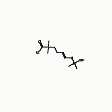 CCC(=O)C(C)(C)CCC=CO[Si](C)(C)C(C)(C)C